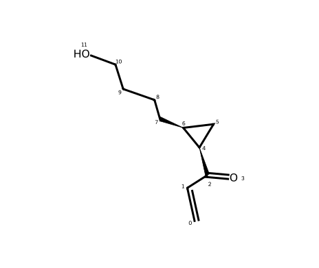 C=CC(=O)[C@@H]1C[C@@H]1CCCCO